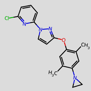 Cc1cc(N2CC2)c(C)cc1Oc1ccn(-c2cccc(Cl)n2)n1